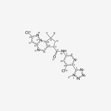 Cn1nnnc1-c1ncc(NC(=O)C2CC(C)(C)c3c2cnc2cc(Cl)nn32)cc1Cl